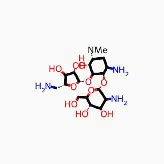 CN[C@@H]1CC(N)[C@@H](O[C@H]2OC(CO)[C@@H](O)[C@H](O)C2N)C(O[C@@H]2O[C@H](CN)C(O)[C@@H]2O)[C@@H]1O